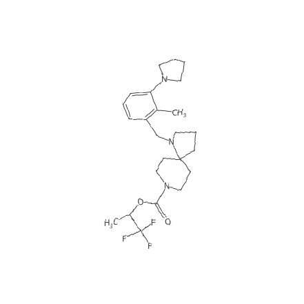 Cc1c(CN2CCCC23CCN(C(=O)OC(C)C(F)(F)F)CC3)cccc1N1CCCC1